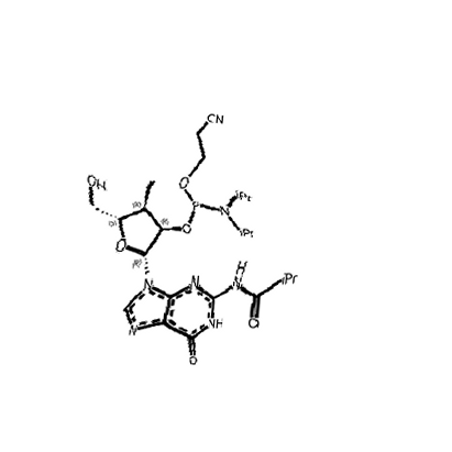 CC(C)C(=O)Nc1nc2c(ncn2[C@@H]2O[C@H](CO)[C@@H](C)[C@H]2OP(OCCC#N)N(C(C)C)C(C)C)c(=O)[nH]1